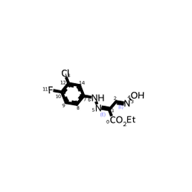 CCOC(=O)C(/C=N/O)=N/Nc1ccc(F)c(Cl)c1